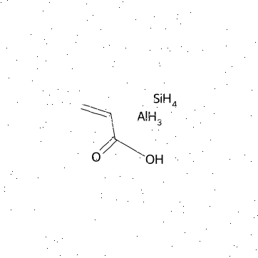 C=CC(=O)O.[AlH3].[SiH4]